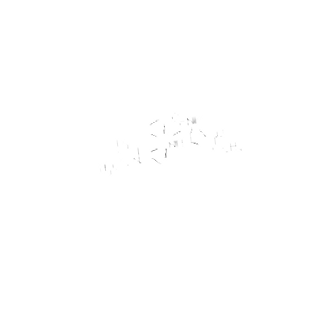 COC(=O)c1ccc2c(c1)NC(=O)C2=C(Nc1ccc(CNCC(C)C)cc1)c1ccccc1